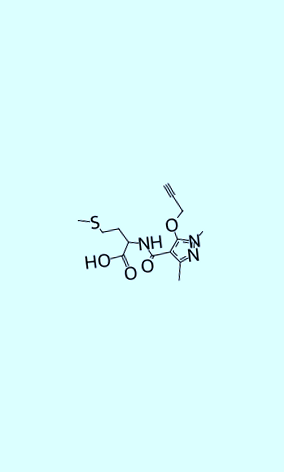 C#CCOc1c(C(=O)NC(CCSC)C(=O)O)c(C)nn1C